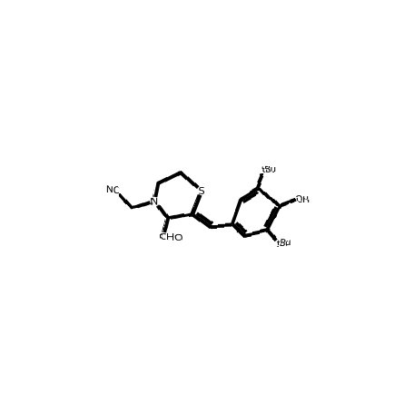 CC(C)(C)c1cc(C=C2SCCN(CC#N)C2C=O)cc(C(C)(C)C)c1O